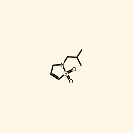 CC(C)CN1CC=CS1(=O)=O